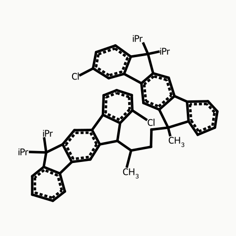 CC(CCC1(C)c2ccccc2-c2cc3c(cc21)-c1cc(Cl)ccc1C3(C(C)C)C(C)C)C1c2cc3c(cc2-c2cccc(Cl)c21)C(C(C)C)(C(C)C)c1ccccc1-3